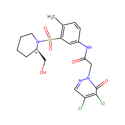 Cc1ccc(NC(=O)Cn2ncc(Cl)c(Cl)c2=O)cc1S(=O)(=O)N1CCCC[C@@H]1CO